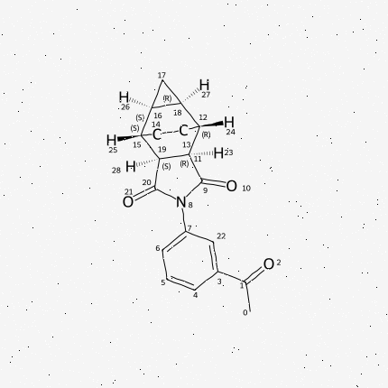 CC(=O)c1cccc(N2C(=O)[C@@H]3[C@@H]4CC[C@@H]([C@H]5C[C@H]54)[C@@H]3C2=O)c1